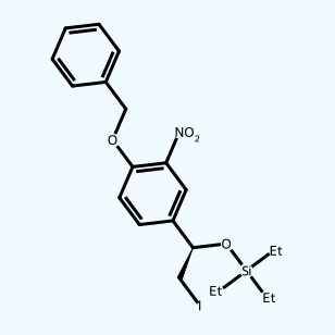 CC[Si](CC)(CC)O[C@@H](CI)c1ccc(OCc2ccccc2)c([N+](=O)[O-])c1